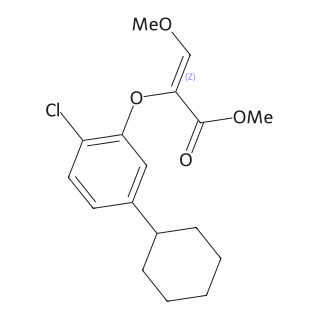 CO/C=C(\Oc1cc(C2CCCCC2)ccc1Cl)C(=O)OC